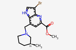 COC(=O)c1cc(CN2CCC[C@H](C)C2)c2[nH]cc(Br)c2n1